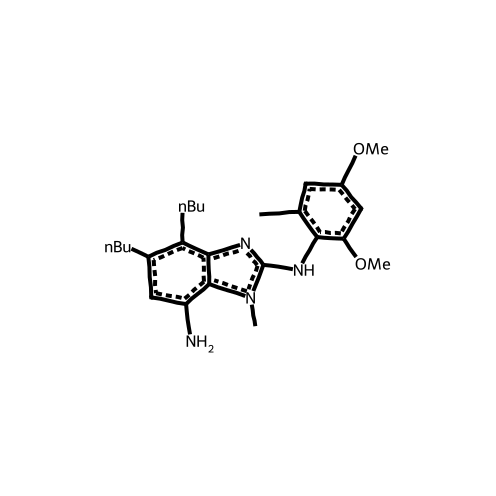 CCCCc1cc(N)c2c(nc(Nc3c(C)cc(OC)cc3OC)n2C)c1CCCC